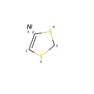 C1=CSCS1.[Ni]